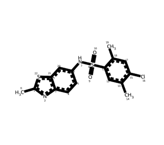 Cc1nc2ccc(NS(=O)(=O)c3cc(C)c(Cl)cc3C)cc2s1